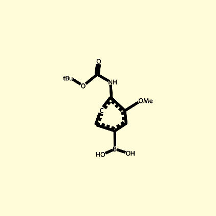 COc1cc(B(O)O)ccc1NC(=O)OC(C)(C)C